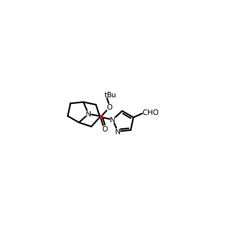 CC(C)(C)OC(=O)N1C2CCC1CC(n1cc(C=O)cn1)C2